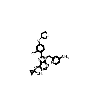 Cc1ccnc(Cn2c(-c3ccc(O[C@H]4CCOC4)cc3Cl)nc3c(OC4(C)CC4)ncnc32)c1